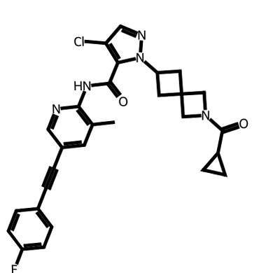 Cc1cc(C#Cc2ccc(F)cc2)cnc1NC(=O)c1c(Cl)cnn1C1CC2(C1)CN(C(=O)C1CC1)C2